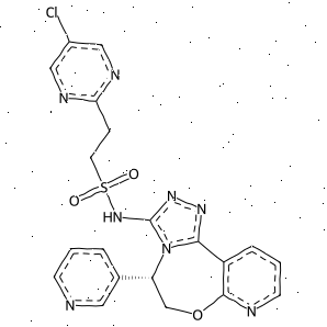 O=S(=O)(CCc1ncc(Cl)cn1)Nc1nnc2n1[C@@H](c1cccnc1)COc1ncccc1-2